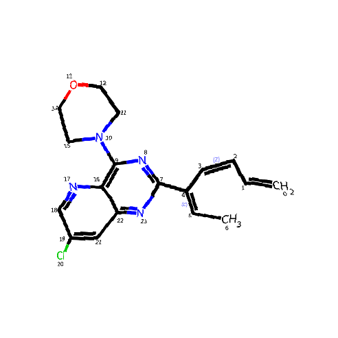 C=C/C=C\C(=C/C)c1nc(N2CCOCC2)c2ncc(Cl)cc2n1